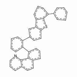 c1ccc(-c2cccc3c2sc2ccc(-c4ccccc4-c4cccc5ccc6cccnc6c45)cc23)cc1